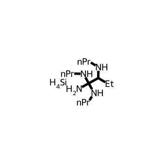 CCCNC(CC)C(N)(NCCC)NCCC.[SiH4]